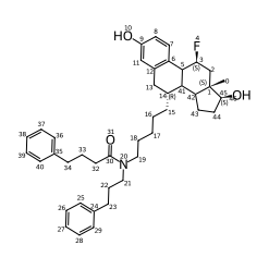 C[C@]12C[C@H](F)C3c4ccc(O)cc4C[C@@H](CCCCCN(CCCc4ccccc4)C(=O)CCCc4ccccc4)C3C1CC[C@@H]2O